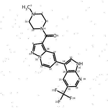 CN1CCN(C(=O)c2cnn3ccc(-c4c[nH]c5ncc(C(F)(F)F)cc45)cc23)CC1